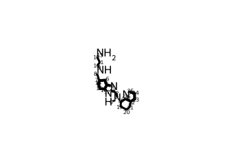 CN(Cc1nc2cc(CNCCCN)ccc2[nH]1)C1CCCc2cccnc21